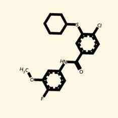 COc1cc(NC(=O)c2ccc(Cl)c(SC3CCCCC3)c2)ccc1F